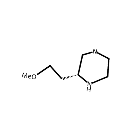 COCC[C@@H]1C[N]CCN1